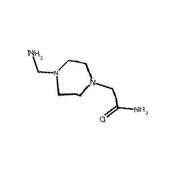 NCN1CCN(CC(N)=O)CC1